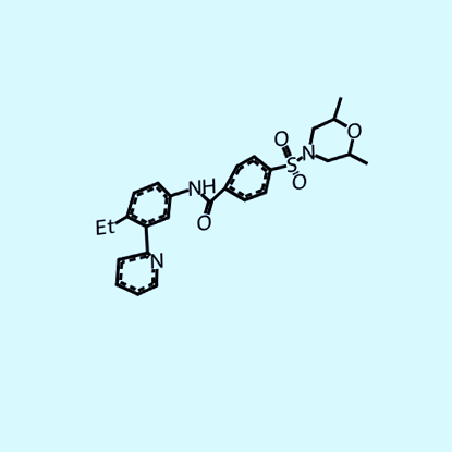 CCc1ccc(NC(=O)c2ccc(S(=O)(=O)N3CC(C)OC(C)C3)cc2)cc1-c1ccccn1